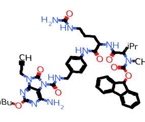 C#CCn1c(=O)n(C(=O)NCc2ccc(NC(=O)C(CCCNC(N)=O)NC(=O)C(C(C)C)N(C)C(=O)OC3c4ccccc4-c4ccccc43)cc2)c2c(N)nc(OCCCC)nc21